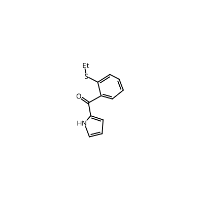 CCSc1ccccc1C(=O)c1ccc[nH]1